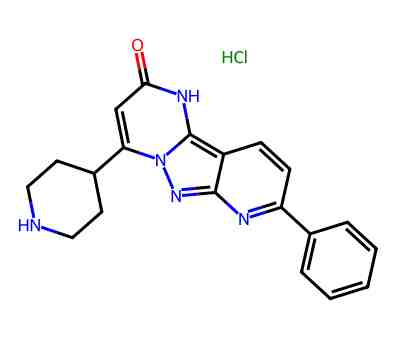 Cl.O=c1cc(C2CCNCC2)n2nc3nc(-c4ccccc4)ccc3c2[nH]1